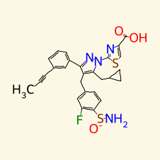 CC#Cc1cccc(-c2nn(-c3nc(C(=O)O)cs3)c(CC3CC3)c2Cc2ccc([S+](N)[O-])c(F)c2)c1